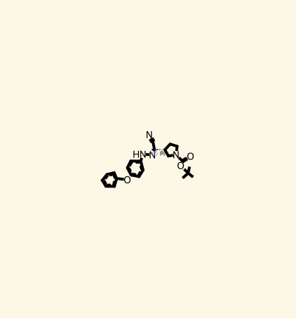 CC(C)(C)OC(=O)N1CC[C@@H](/C(C#N)=N/Nc2ccc(Oc3ccccc3)cc2)C1